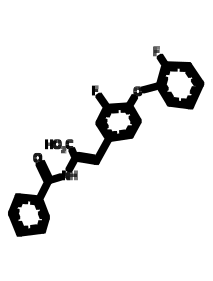 O=C(O)/C(=C\c1ccc(Oc2ccccc2F)c(F)c1)NC(=O)c1ccccc1